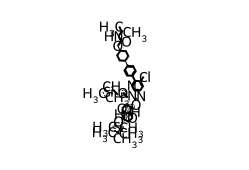 CC(C)NC(=O)O[C@H]1CC[C@@H](c2ccc(-c3nc4c(cc3Cl)nc(O[C@@H]3CO[C@H]5[C@@H]3OC[C@H]5O[Si](C)(C)C(C)(C)C)n4COCC[Si](C)(C)C)cc2)CC1